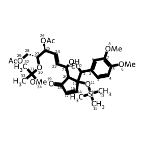 CCC(c1ccc(OC)c(OC)c1)C1(O[Si](C)(C)C)C=CC(=O)C1C(O)C=C[C@H](OC(C)=O)[C@@H](COC(C)=O)OC(C)(C)OC